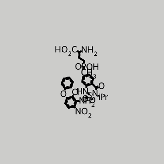 CC(C)N1C(=O)c2ccccc2NS1(=O)=O.CP(=O)(O)CCC(N)C(=O)O.Nc1c([N+](=O)[O-])ccc(Oc2ccccc2)c1Cl